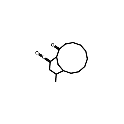 CC1CC(=C=O)C2CC1CCCCCCCCC2=O